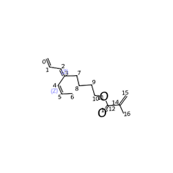 C=C/C=C(\C=C/C)CCCCOC(=O)C(=C)C